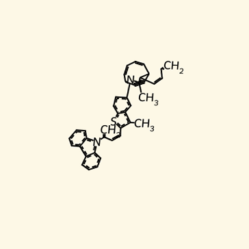 C=C/C=C\C1=C(C)N(c2ccc3sc(/C=C\C(=C)n4c5ccccc5c5ccccc54)c(C)c3c2)C2C#CC1/C=C\C=C/2